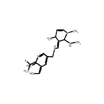 CCC(/C=C(\C=N/CC(C)F)CN/C=C1\C(N)C=CN(C)C1NC)=C\O